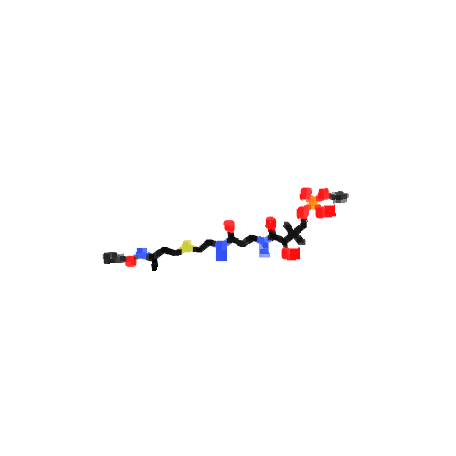 C/C(CCSCCNC(=O)CCNC(=O)C(O)C(C)(C)COP(=O)(O)OC(C)C)=N\OC(C)(C)C